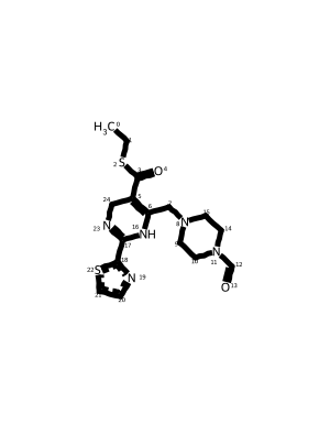 CCSC(=O)C1=C(CN2CCN(C=O)CC2)NC(c2nccs2)=NC1